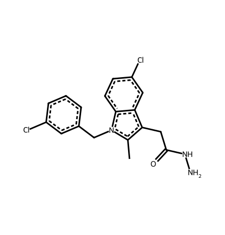 Cc1c(CC(=O)NN)c2cc(Cl)ccc2n1Cc1cccc(Cl)c1